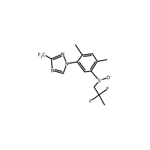 Cc1cc(C)c([S+]([O-])CC(C)(F)F)cc1-n1cnc(C(F)(F)F)n1